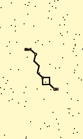 CSOCCCN1CC(O)C1